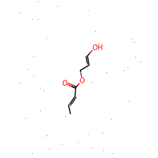 CC=CC(=O)OCC=CO